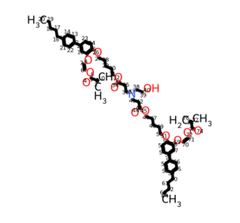 C=C(C)C(=O)O/C=C\Oc1cc(-c2ccc(CCCCC)cc2)ccc1OCCCCCOC(=O)CCN(CCO)CCC(=O)OCCCCCOc1ccc(-c2ccc(CCCCC)cc2)cc1O/C=C\OC(=O)C(=C)C